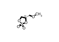 COC[C@H]1COS(=O)(=O)O1